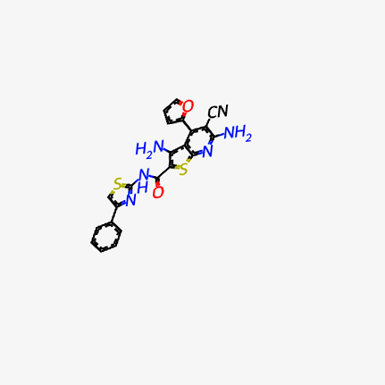 N#Cc1c(N)nc2sc(C(=O)Nc3nc(-c4ccccc4)cs3)c(N)c2c1-c1ccco1